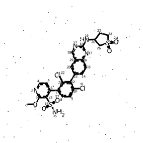 COc1nccc(-c2ccc(Cl)c(-c3ccc4nc(NC5CCS(=O)(=O)C5)ncc4c3)c2Cl)c1S(N)(=O)=O